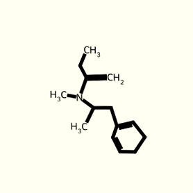 C=C(CC)N(C)C(C)CC1=CCCC=C1